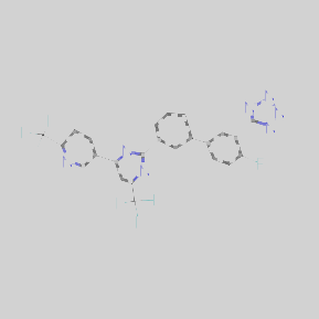 Fc1ccc(-c2cccc(-c3nc(-c4ccc(C(F)(F)F)nc4)cc(C(F)(F)F)n3)c2)cc1-c1nn[nH]n1